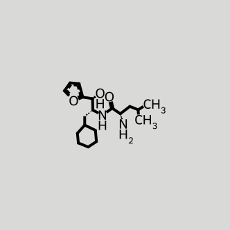 CC(C)C[C@H](N)C(=O)N[C@H](CC1CCCCC1)[C@H](O)c1ccco1